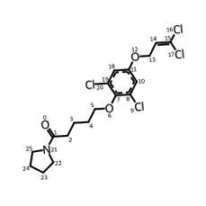 O=C(CCCCOc1c(Cl)cc(OCC=C(Cl)Cl)cc1Cl)N1CCCC1